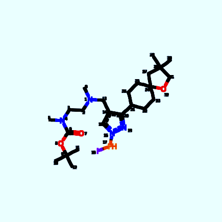 CN(CCN(C)C(=O)OC(C)(C)C)Cc1cn(PI)nc1C1CCC2(CC1)CC(C)(C)CO2